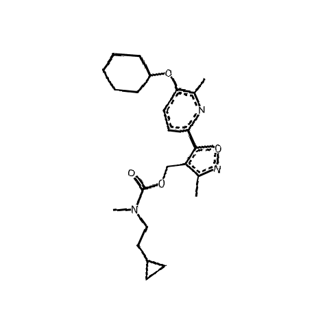 Cc1nc(-c2onc(C)c2COC(=O)N(C)CCC2CC2)ccc1OC1CCCCC1